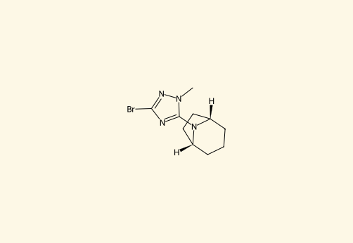 Cn1nc(Br)nc1N1[C@@H]2CCC[C@H]1CC2